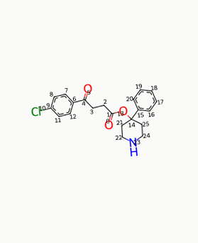 O=C(CCC(=O)c1ccc(Cl)cc1)OC1(c2ccccc2)CCNCC1